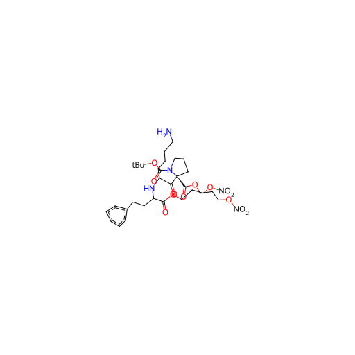 CC(C)(C)OC(=O)N1CCC[C@]1(C(=O)OCCCO[N+](=O)[O-])C(=O)C(CCCCN)NC(CCc1ccccc1)C(=O)OCCCO[N+](=O)[O-]